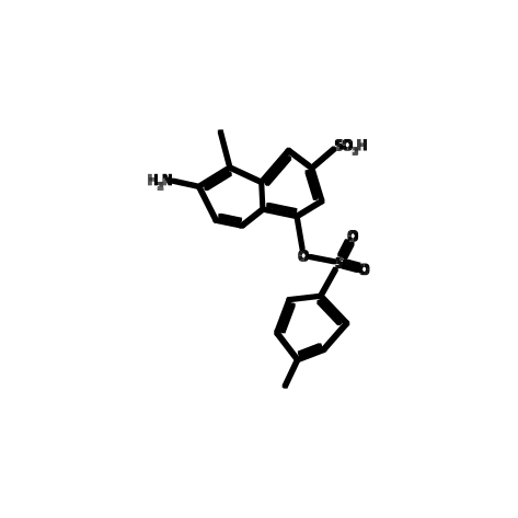 Cc1ccc(S(=O)(=O)Oc2cc(S(=O)(=O)O)cc3c(C)c(N)ccc23)cc1